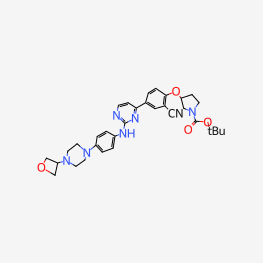 CC(C)(C)OC(=O)N1CCC(Oc2ccc(-c3ccnc(Nc4ccc(N5CCN(C6COC6)CC5)cc4)n3)cc2C#N)C1